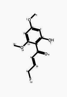 COc1cc(O)c(C(=O)/C=C/CF)c(OC)c1